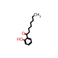 CCCCCCCC(=O)c1ccccc1O